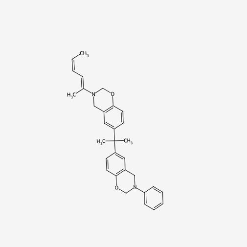 C/C=C\C=C(/C)N1COc2ccc(C(C)(C)c3ccc4c(c3)CN(c3ccccc3)CO4)cc2C1